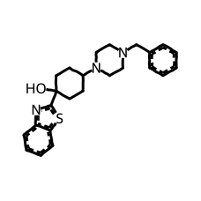 OC1(c2nc3ccccc3s2)CCC(N2CCN(Cc3ccccc3)CC2)CC1